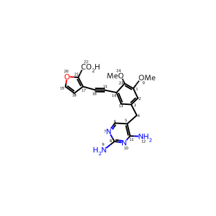 COc1cc(Cc2cnc(N)nc2N)cc(C#Cc2ccoc2C(=O)O)c1OC